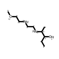 CCC(O)C(C)NCCNCCOC